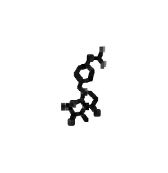 C[C@H]1C(=O)NCC2N(Cc3ccc(OC(F)F)cc3)CCC(=O)N21